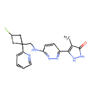 Cc1c(-c2ccc(NCC3(c4ccccn4)CC(F)C3)nn2)[nH][nH]c1=O